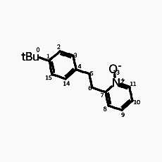 CC(C)(C)c1ccc(CCc2cccc[n+]2[O-])cc1